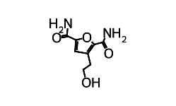 NC(=O)c1cc(CCO)c(C(N)=O)o1